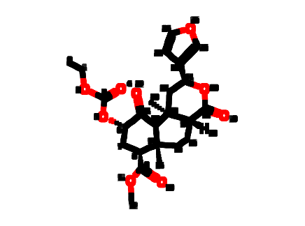 CCOC(=O)O[C@H]1C[C@@H](C(=O)OC)[C@]2(C)CC[C@H]3C(=O)O[C@H](c4ccoc4)C[C@]3(C)C2C1=O